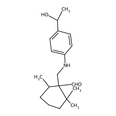 CC(O)c1ccc(NCC2(C=O)C(C)CCCC2(C)C)cc1